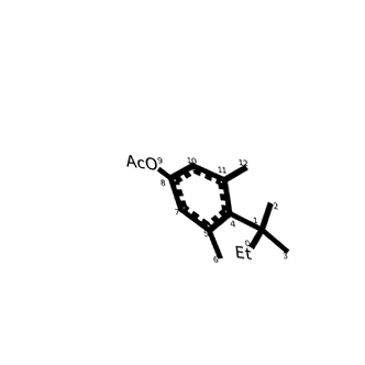 CCC(C)(C)c1c(C)cc(OC(C)=O)cc1C